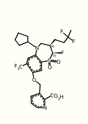 CC(F)(F)CC[C@@H]1CN(C2CCCC2)c2cc(C(F)(F)F)c(OCc3cccnc3C(=O)O)cc2S(=O)(=O)[C@@H]1F